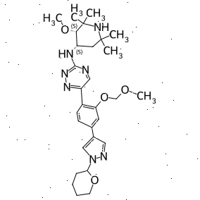 COCOc1cc(-c2cnn(C3CCCCO3)c2)ccc1-c1cnc(N[C@H]2CC(C)(C)NC(C)(C)[C@H]2OC)nn1